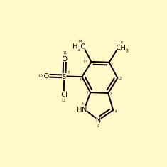 Cc1cc2cn[nH]c2c(S(=O)(=O)Cl)c1C